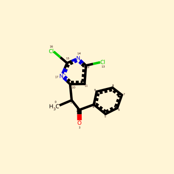 CC(C(=O)c1ccccc1)c1cc(Cl)nc(Cl)n1